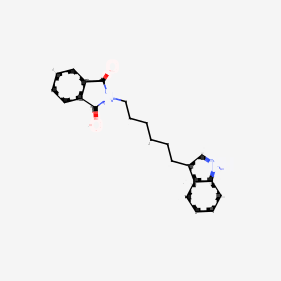 O=C1c2ccccc2C(=O)N1CCCCCCc1c[nH]c2ccccc12